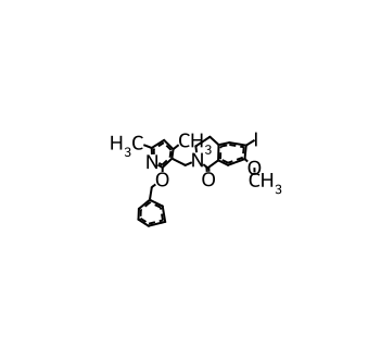 COc1cc2c(cc1I)CCN(Cc1c(C)cc(C)nc1OCc1ccccc1)C2=O